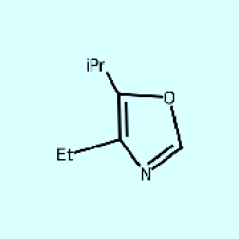 CCc1ncoc1C(C)C